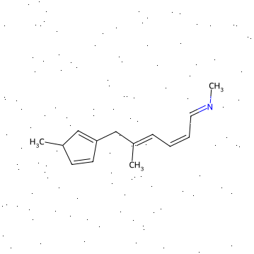 C/N=C/C=C\C=C(/C)CC1=CC(C)C=C1